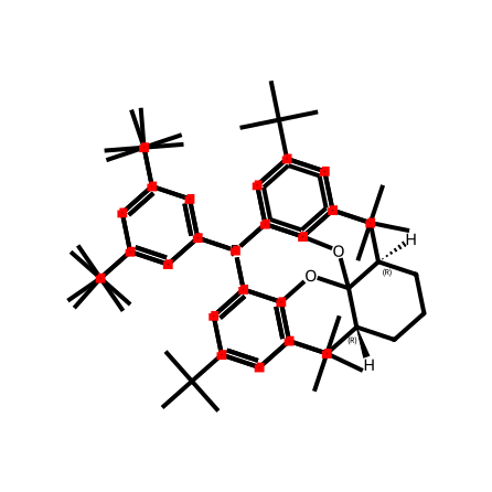 CC(C)(C)c1cc(P(c2cc(C(C)(C)C)cc(C(C)(C)C)c2)c2cccc3c2OC24Oc5c(cccc5P(c5cc(C(C)(C)C)cc(C(C)(C)C)c5)c5cc(C(C)(C)C)cc(C(C)(C)C)c5)C[C@H]2CCC[C@@H]4C3)cc(C(C)(C)C)c1